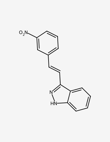 O=[N+]([O-])c1cccc(/C=C/c2n[nH]c3ccccc23)c1